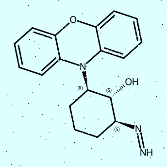 N=N[C@H]1CCC[C@@H](N2c3ccccc3Oc3ccccc32)[C@@H]1O